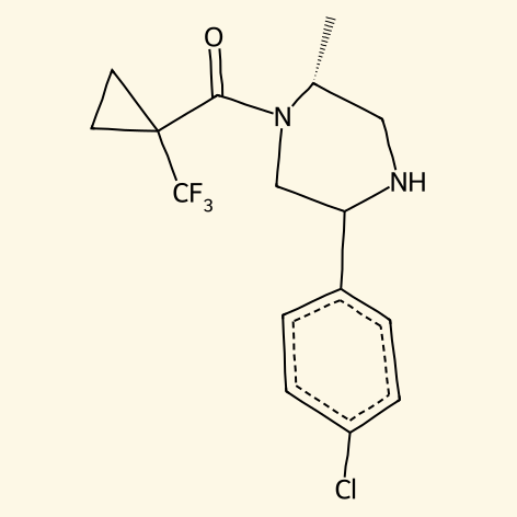 C[C@@H]1CNC(c2ccc(Cl)cc2)CN1C(=O)C1(C(F)(F)F)CC1